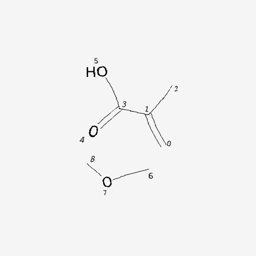 C=C(C)C(=O)O.COC